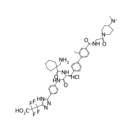 Cc1cc(C(=O)NCC(=O)N2CCC(N(C)C)CC2)ccc1-c1ccc(C[C@H](NC(=O)C2(CN)CCCCC2)C(=O)Nc2ccc(-c3nnc(C(F)(F)C(F)(F)C(=O)O)[nH]3)cc2)cc1.Cl